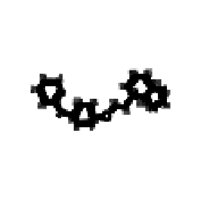 c1ccc(Cc2ccc(OCCn3cccc4ncnc3-4)cc2)cc1